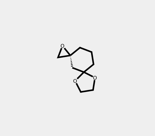 C1CC2(C[C@]3(C1)CO3)OCCO2